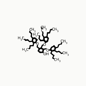 CCCCc1ccc(OCc2ccc(O)c(COc3ccc(CCCC)c(CCCC)c3CCCC)c2COc2ccc(CCCC)c(CCCC)c2CCCC)c(CCCC)c1CCCC